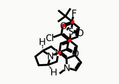 Cn1ccc2cc(S(=O)(=O)CC(C)(C)C)cc(N3[C@@H]4CC[C@H]3CN(C(=O)c3ccc(F)cc3Cl)C4)c21